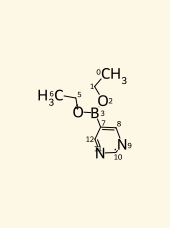 CCOB(OCC)c1cncnc1